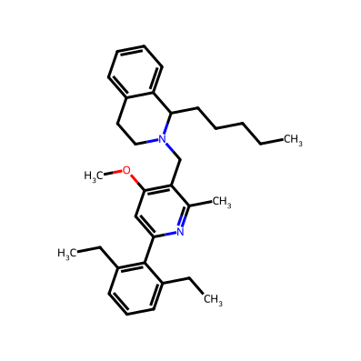 CCCCCC1c2ccccc2CCN1Cc1c(OC)cc(-c2c(CC)cccc2CC)nc1C